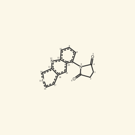 O=C1CCC(=O)N1c1cccc2nc3ccccc3cc12